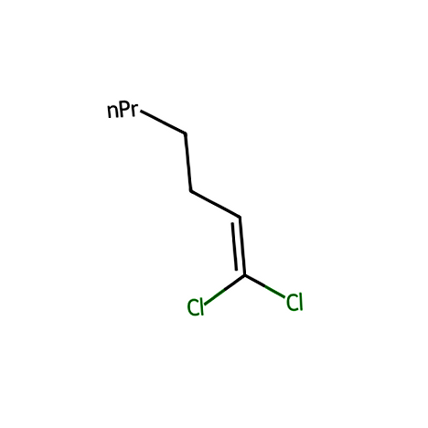 CCCCCC=C(Cl)Cl